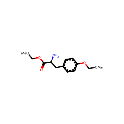 COCOC(=O)[C@@H](N)Cc1ccc(OCOC)cc1